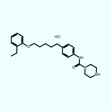 CCc1ccccc1OCCCCCc1ccc(NC(=O)N2CCNCC2)cc1.Cl